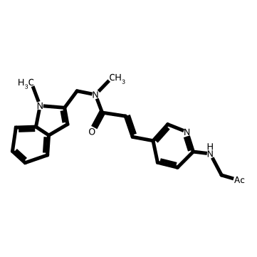 CC(=O)CNc1ccc(/C=C/C(=O)N(C)Cc2cc3ccccc3n2C)cn1